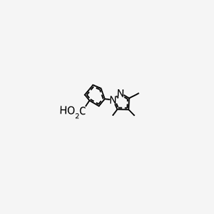 Cc1nn(-c2cccc(C(=O)O)c2)c(C)c1C